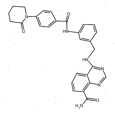 NC(=O)c1cccc2c(NCc3cccc(NC(=O)c4ccc(N5CCCCC5=O)cc4)c3)ncnc12